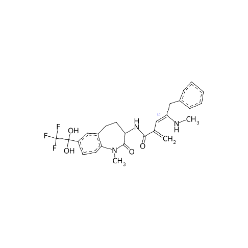 C=C(/C=C(/Cc1ccccc1)NC)C(=O)NC1CCc2cc(C(O)(O)C(F)(F)F)ccc2N(C)C1=O